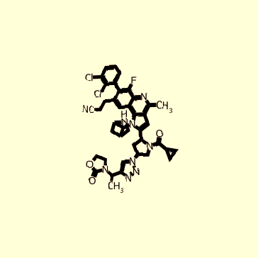 Cc1nc2c(F)c(-c3cccc(Cl)c3Cl)c(CCC#N)cc2c2c1cc(C1CC(n3cc(C(C)N4CCOC4=O)nn3)CN1C(=O)C1CC1)n2C1C2CNC1C2